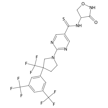 O=C1NOCC1NC(=S)c1cnc(N2CCC(c3cc(C(F)(F)F)cc(C(F)(F)F)c3)(C(F)(F)F)C2)nc1